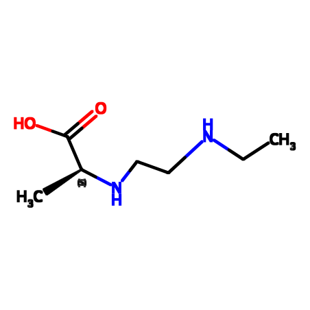 CCNCCN[C@@H](C)C(=O)O